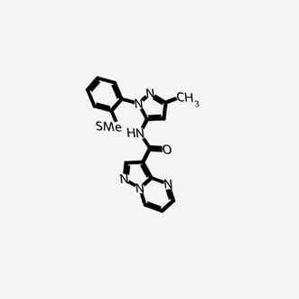 CSc1ccccc1-n1nc(C)cc1NC(=O)c1cnn2cccnc12